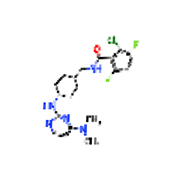 CN(C)c1ccnc(NC2CCC(CNC(=O)c3c(F)ccc(F)c3Cl)CC2)n1